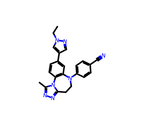 CCn1cc(-c2ccc3c(c2)N(c2ccc(C#N)cc2)CCc2nnc(C)n2-3)cn1